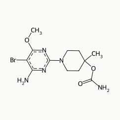 COc1nc(N2CCC(C)(OC(N)=O)CC2)nc(N)c1Br